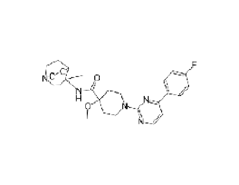 COC1(C(=O)NC2(C)CCN3CCC2CC3)CCN(c2nccc(-c3ccc(F)cc3)n2)CC1